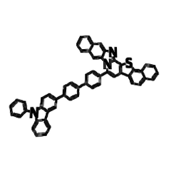 c1ccc(-n2c3ccccc3c3cc(-c4ccc(-c5ccc(-c6cc7c8ccc9ccccc9c8sc7c7nc8cc9ccccc9cc8n67)cc5)cc4)ccc32)cc1